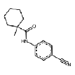 CC1(C(=O)Nc2ccc(C#N)cc2)CCCCC1